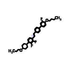 CCCCOc1ccc(-c2ccc(/C=C/c3ccc(C4CCC(OCCC)CC4)c(F)c3F)cc2)cc1F